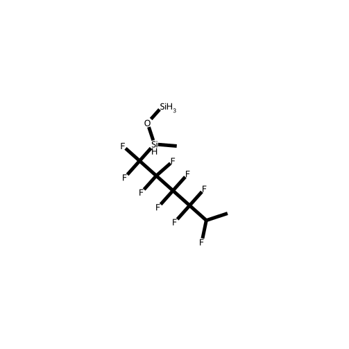 CC(F)C(F)(F)C(F)(F)C(F)(F)C(F)(F)[SiH](C)O[SiH3]